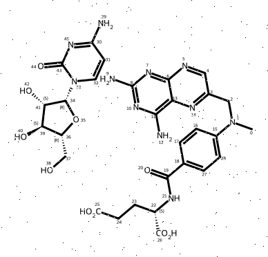 CN(Cc1cnc2nc(N)nc(N)c2n1)c1ccc(C(=O)N[C@@H](CCC(=O)O)C(=O)O)cc1.Nc1ccn([C@@H]2O[C@H](CO)[C@@H](O)[C@@H]2O)c(=O)n1